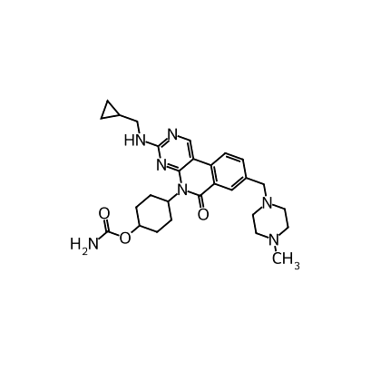 CN1CCN(Cc2ccc3c(c2)c(=O)n(C2CCC(OC(N)=O)CC2)c2nc(NCC4CC4)ncc32)CC1